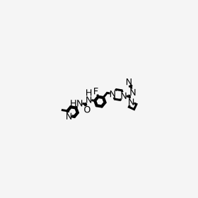 Cc1cc(NC(=O)Nc2cccc(CN3CCN(/C(=N\C#N)N4CCC4)CC3)c2F)ccn1